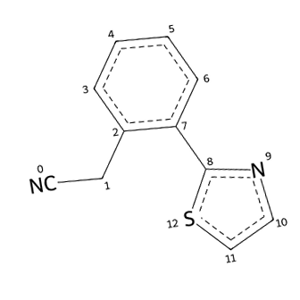 N#CCc1ccccc1-c1nccs1